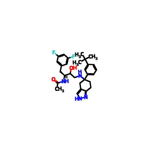 CC(=O)N[C@@H](Cc1cc(F)cc(F)c1)C(O)CNC1(c2cccc(C(C)(C)C)c2)CCc2n[nH]cc2C1